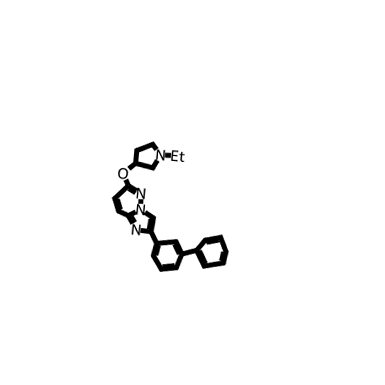 CCN1CCC(Oc2ccc3nc(-c4cccc(-c5ccccc5)c4)cn3n2)C1